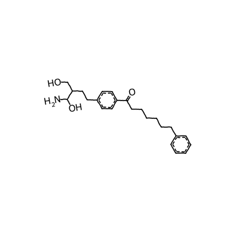 NC(O)C(CO)CCc1ccc(C(=O)CCCCCCc2ccccc2)cc1